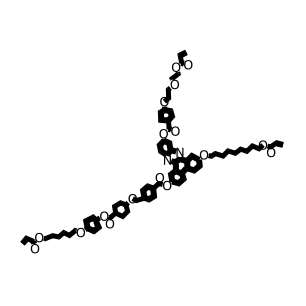 C=CC(=O)OCCCCCCCCCOc1ccc2c3ccc(OC(=O)c4ccc(COC5CCC(C(=O)Oc6ccc(OCCCCCCOC(=O)C=C)cc6)CC5)cc4)cc3c3nc4ccc(OC(=O)c5ccc(OCCOCCOC(=O)C=C)cc5)cc4nc3c2c1